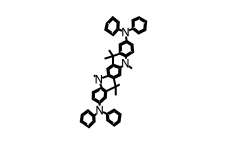 CN1c2ccc(N(c3ccccc3)c3ccccc3)cc2C(C)(C)c2cc3c(cc21)C(C)(C)c1cc(N(c2ccccc2)c2ccccc2)ccc1N3C